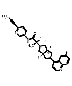 CC#Cc1ccc(NC(=O)C(C)(C)[C@H]2C[C@H]3CC(c4ccnc5ccc(F)cc45)C[C@H]3C2)cn1